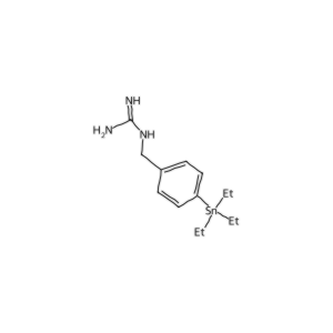 C[CH2][Sn]([CH2]C)([CH2]C)[c]1ccc(CNC(=N)N)cc1